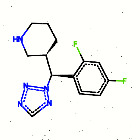 Fc1ccc([C@H]([C@H]2CCCNC2)n2ncnn2)c(F)c1